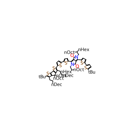 CCCCCCCCCCCCc1c(-c2ccc(-c3ccc(C4=C5C(=O)N(CC(CCCCCC)CCCCCCCC)C(c6ccc(-c7ccc(C(C)(C)C)s7)s6)=C5C(=O)N4CC(CCCCCC)CCCCCCCC)s3)s2)sc2c1C(CCCCCCCC)(CCCCCCCC)c1c-2sc(C(C)(C)C)c1CCCCCCCCCCCC